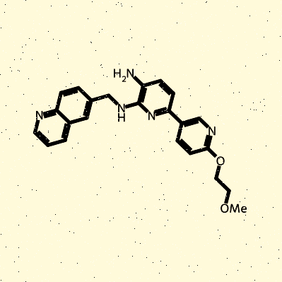 COCCOc1ccc(-c2ccc(N)c(NCc3ccc4ncccc4c3)n2)cn1